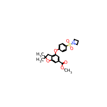 COC(=O)c1cc(Oc2ccc(S(=O)(=O)N3CCC3)cc2)c2c(c1)OC(C)(C)C2